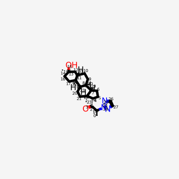 C[C@@H](C(=O)[C@H]1CC[C@H]2[C@@H]3CC[C@H]4C[C@](C)(O)CC[C@@H]4[C@H]3CC[C@]12C)n1nccn1